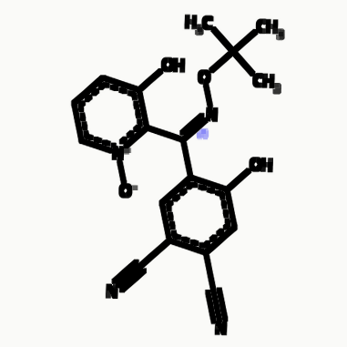 CC(C)(C)O/N=C(/c1cc(C#N)c(C#N)cc1O)c1c(O)ccc[n+]1[O-]